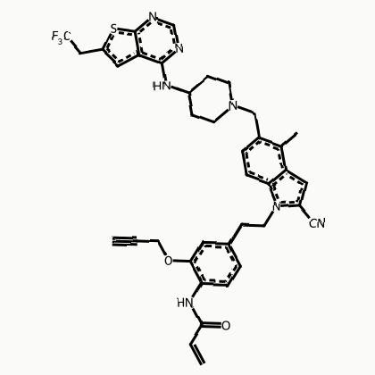 C#CCOc1cc(CCn2c(C#N)cc3c(C)c(CN4CCC(Nc5ncnc6sc(CC(F)(F)F)cc56)CC4)ccc32)ccc1NC(=O)C=C